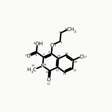 CCCOc1c(C(=O)O)n(C)c(=O)c2ccc(Cl)cc12